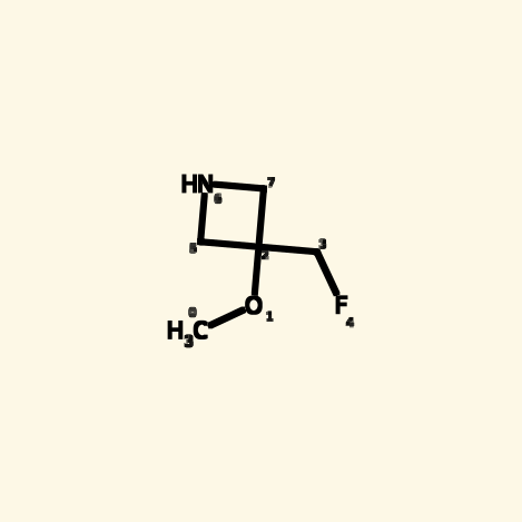 COC1(CF)CNC1